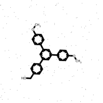 COc1ccc(-c2cc(-c3ccc(CO)cc3)cc(-c3ccc(OC)cc3)c2)cc1